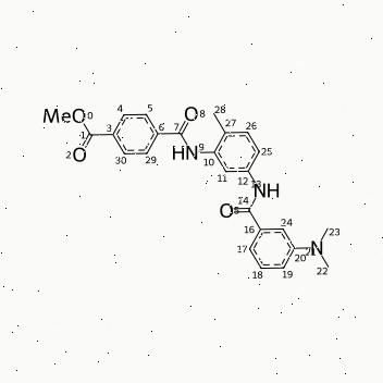 COC(=O)c1ccc(C(=O)Nc2cc(NC(=O)c3cccc(N(C)C)c3)ccc2C)cc1